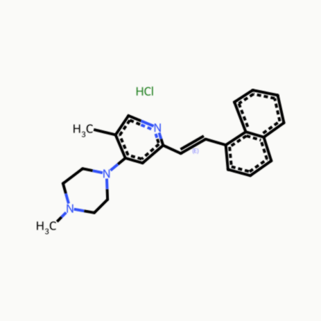 Cc1cnc(/C=C/c2cccc3ccccc23)cc1N1CCN(C)CC1.Cl